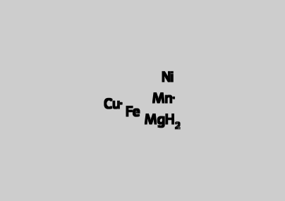 [Cu].[Fe].[MgH2].[Mn].[Ni]